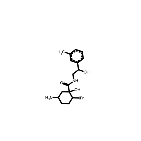 Cc1cccc(C(O)CNC(=O)C2(O)CC(C)CCC2C(C)C)c1